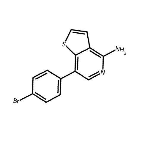 Nc1ncc(-c2ccc(Br)cc2)c2sccc12